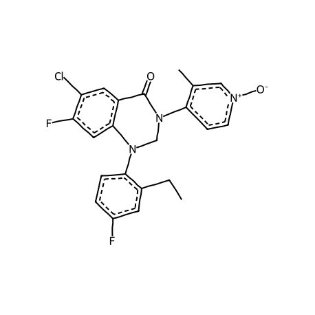 CCc1cc(F)ccc1N1CN(c2cc[n+]([O-])cc2C)C(=O)c2cc(Cl)c(F)cc21